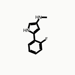 CNc1c[nH]c(-c2ccccc2F)c1